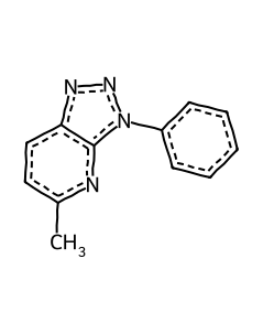 Cc1ccc2nnn(-c3ccccc3)c2n1